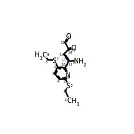 CCSc1ccc(SCC)c(/C(N)=C/C(=O)C=O)n1